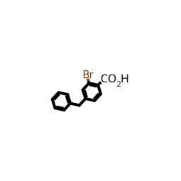 O=C(O)c1ccc(Cc2ccccc2)cc1Br